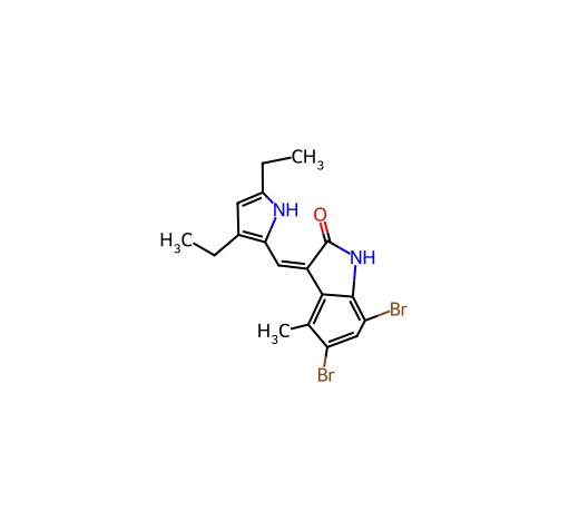 CCc1cc(CC)c(C=C2C(=O)Nc3c(Br)cc(Br)c(C)c32)[nH]1